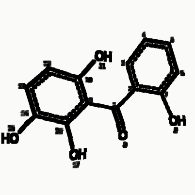 O=C(c1ccccc1O)c1c(O)ccc(O)c1O